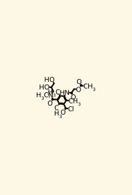 CC(=O)OCC(=O)Nc1c(C)c(C(=O)Cl)c(C)c(C(=O)N(C)CC(O)CO)c1C